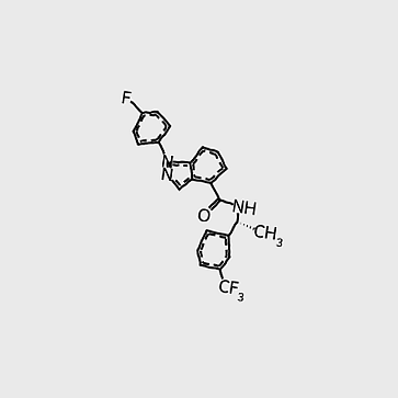 C[C@@H](NC(=O)c1cccc2c1cnn2-c1ccc(F)cc1)c1cccc(C(F)(F)F)c1